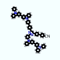 N#Cc1ccc(-c2ccc(-c3cc(-c4ccc(-c5ccc(-n6c7ccccc7c7cc(-c8ccc9c(c8)c8ccccc8n9-c8ccccc8)ccc76)cc5)cc4)nc(-c4cccc(-n5c6ccccc6c6cc(-c7ccc8c(c7)c7ccccc7n8-c7ccccc7)ccc65)c4)n3)cc2)cc1